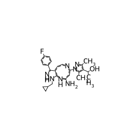 Cc1nn(-c2cc(N)[nH]c(NCC3CC3)c(C(=N)c3ccc(F)cc3)ccn2)c(C)c1C(C)O